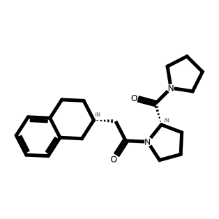 O=C([C@@H]1CCCN1C(=O)C[C@H]1CCc2ccccc2C1)N1CCCC1